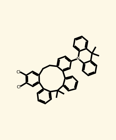 CC1(C)c2ccccc2-c2cc(N3c4ccccc4C(C)(C)c4ccccc43)ccc2CCc2cc(Cl)c(Cl)cc2-c2ccccc21